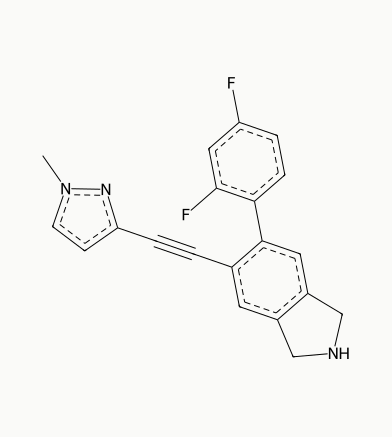 Cn1ccc(C#Cc2cc3c(cc2-c2ccc(F)cc2F)CNC3)n1